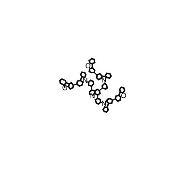 c1cc(-c2cc(-c3cccc(-n4c5ccccc5c5cc(-c6ccc7oc8ccccc8c7c6)ccc54)c3)c3nccc(-c4cccc(-n5c6ccccc6c6cc(-c7ccc8oc9ccccc9c8c7)ccc65)c4)c3c2)cc(-n2c3ccccc3c3cc(-c4ccc5oc6ccccc6c5c4)ccc32)c1